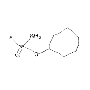 NP(=O)(F)OC1CCCCC1